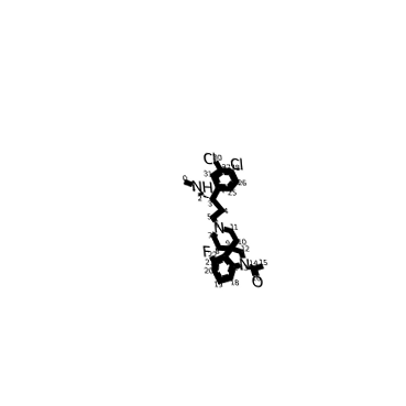 CNC[C@@H](CCN1CCC2(CC1)CN(C(C)=O)c1cccc(F)c12)c1ccc(Cl)c(Cl)c1